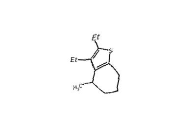 CCc1sc2c(c1CC)C(C)CCC2